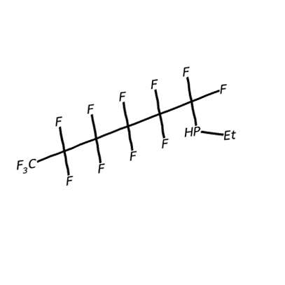 CCPC(F)(F)C(F)(F)C(F)(F)C(F)(F)C(F)(F)C(F)(F)F